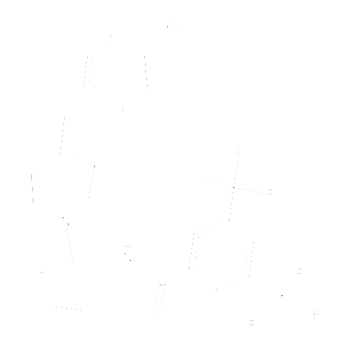 O=C(NC1CCCC1N1CCC(Cc2ccc(Cl)cc2)CC1)c1cc(C(F)(F)F)cc(C(F)(F)F)c1